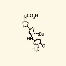 Cn1nc(Nc2cc(C3CC[C@H](NC(=O)O)C3)nn2C(C)(C)C)ccc1=O